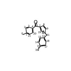 Cc1ccc(C(=O)c2ccn(Cc3ccc(I)cc3)c2)cc1